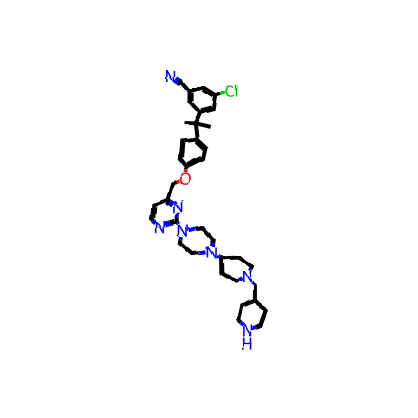 CC(C)(c1ccc(OCc2ccnc(N3CCN(C4CCN(CC5CCNCC5)CC4)CC3)n2)cc1)c1cc(Cl)cc(C#N)c1